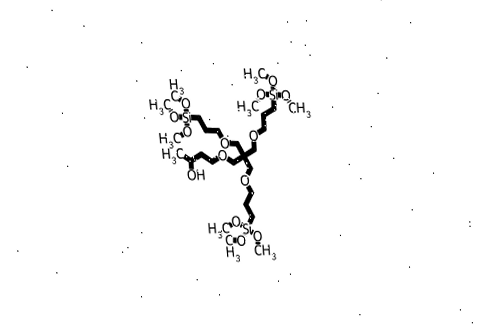 CO[Si](CCCOCC(COCCC[Si](OC)(OC)OC)(COCCC[Si](OC)(OC)OC)COCCC(C)O)(OC)OC